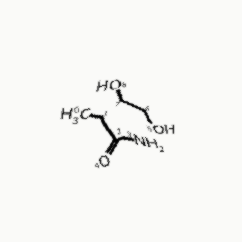 CCC(N)=O.OCCO